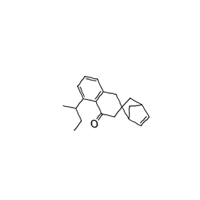 CCC(C)c1cccc2c1C(=O)CC1(C2)CC2C=CC1C2